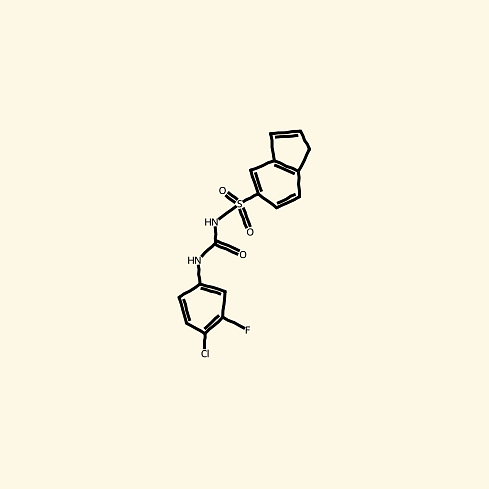 O=C(Nc1ccc(Cl)c(F)c1)NS(=O)(=O)c1ccc2c(c1)C=CC2